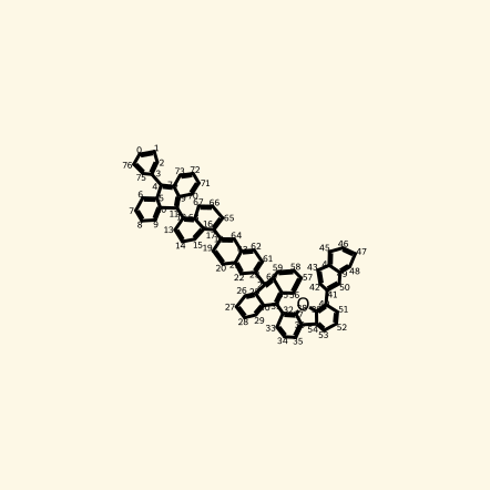 c1ccc(-c2c3ccccc3c(-c3cccc4c(-c5ccc6cc(-c7c8ccccc8c(-c8cccc9c8oc8c(-c%10ccc%11ccccc%11c%10)cccc89)c8ccccc78)ccc6c5)cccc34)c3ccccc23)cc1